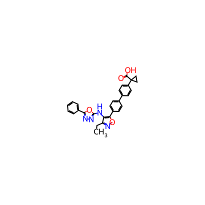 CCc1noc(-c2ccc(-c3ccc(C4(C(=O)O)CC4)cc3)cc2)c1Nc1nnc(-c2ccccc2)o1